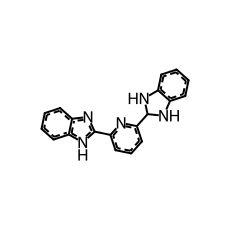 c1cc(-c2nc3ccccc3[nH]2)nc(C2Nc3ccccc3N2)c1